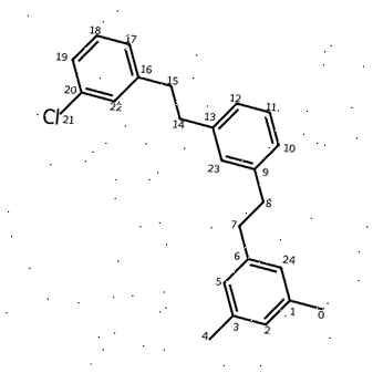 Cc1cc(C)cc(CCc2cccc(CCc3cccc(Cl)c3)c2)c1